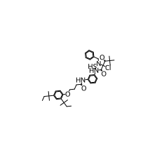 CCC(C)(C)c1ccc(OCCCC(=O)Nc2cccc(NC(=O)C(Cl)(C(=O)C(C)(C)C)N(S)Cc3ccccc3)c2)c(C(C)(C)CC)c1